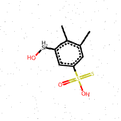 Cc1cc(S(=O)(O)=S)cc([SiH2]O)c1C